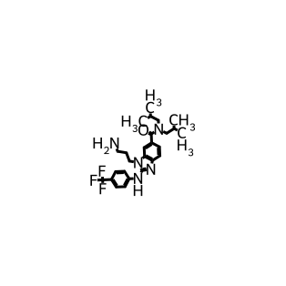 CC(C)CN(CC(C)C)C(=O)c1ccc2nc(Nc3ccc(C(F)(F)F)cc3)n(CCCN)c2c1